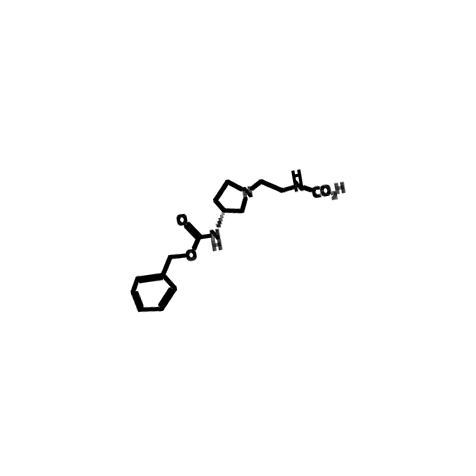 O=C(O)NCCN1CC[C@@H](NC(=O)OCc2ccccc2)C1